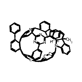 CC12C=CC3C4C=CC=C5c6ncc(cc6-c6nc(-c7ccccc7)nc(-c7ccccc7)n6)C6C(c7ccccc7)=CC=CC6C6=CCC(C=C6)C6=CC=C(CC6)N(c6ccccc61)[C@H]2C3SC54